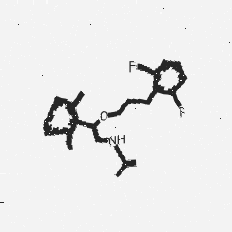 Cc1cccc(C)c1C(CNC(C)C)OCCCc1c(F)cccc1F